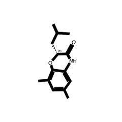 Cc1cc(C)c2c(c1)NC(=O)[C@@H](CC(C)C)O2